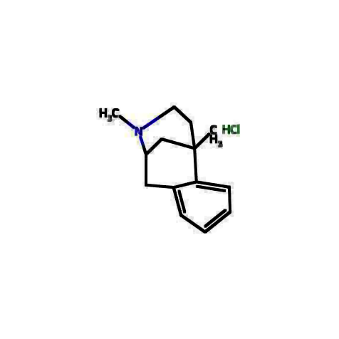 CN1CCC2(C)CC1Cc1ccccc12.Cl